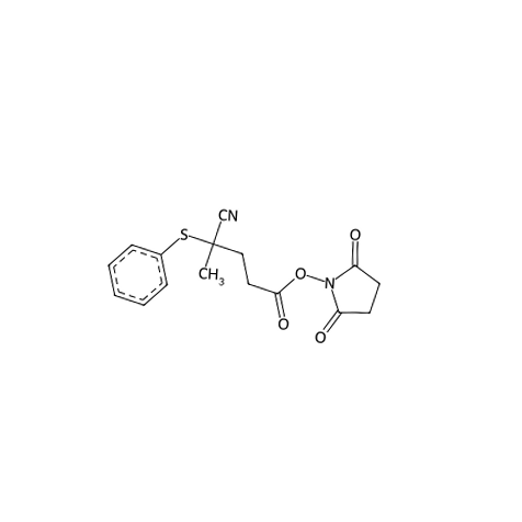 CC(C#N)(CCC(=O)ON1C(=O)CCC1=O)Sc1ccccc1